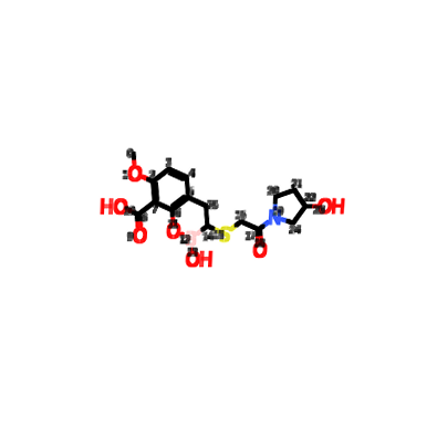 COc1ccc2c(c1C(=O)O)OB(O)C(SCC(=O)N1CCC(O)C1)C2